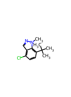 Cn1ncc2c(Cl)ccc(C(C)(C)C)c21